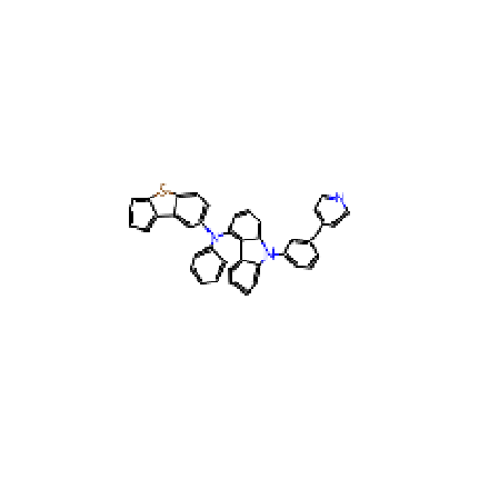 c1ccc(N(c2ccc3sc4ccccc4c3c2)c2cccc3c2c2ccccc2n3-c2cccc(-c3ccncc3)c2)cc1